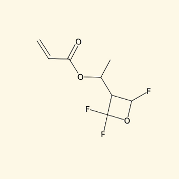 C=CC(=O)OC(C)C1C(F)OC1(F)F